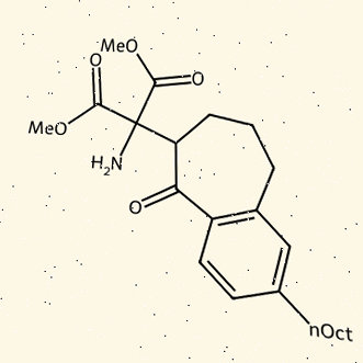 CCCCCCCCc1ccc2c(c1)CCCC(C(N)(C(=O)OC)C(=O)OC)C2=O